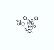 Cc1cc(C)c(OCCC2CCCN(C(=O)OC(C)(C)C)C2)cc1CNC(=O)[C@H](CCc1ccccc1)NC(=O)OCc1ccccc1